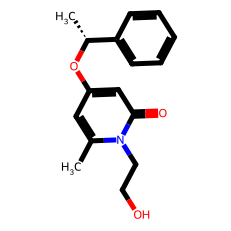 Cc1cc(O[C@H](C)c2ccccc2)cc(=O)n1CCO